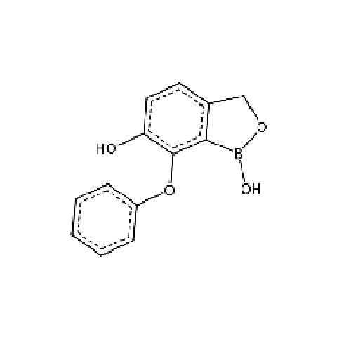 OB1OCc2ccc(O)c(Oc3ccccc3)c21